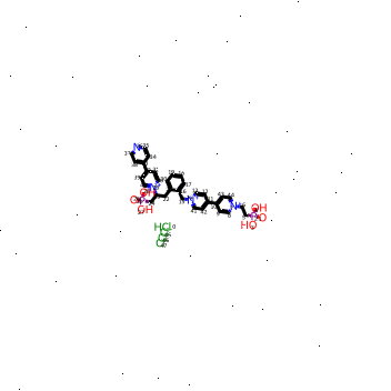 Cl.O=P(O)(O)CC[n+]1ccc(-c2cc[n+](Cc3ccccc3CC(CP(=O)(O)O)[n+]3ccc(-c4ccncc4)cc3)cc2)cc1.[Cl-].[Cl-].[Cl-]